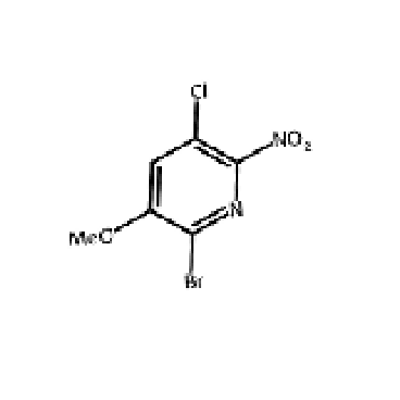 COc1cc(Cl)c([N+](=O)[O-])nc1Br